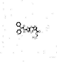 CCOC(=O)c1cnc(Sc2cnc(NC(=O)N(C3CCCCC3)C3CCSCC3)s2)n1C